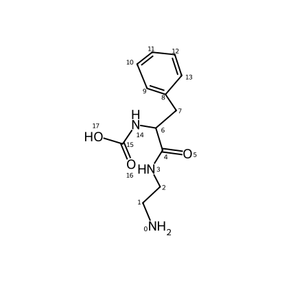 NCCNC(=O)C(Cc1ccccc1)NC(=O)O